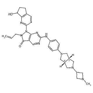 C=CCn1c(=O)c2cnc(Nc3ccc(N4C[C@@H]5CN(C6CN(C)C6)C[C@@H]5C4)cc3)nc2n1-c1ccc2c(n1)C(O)CC2